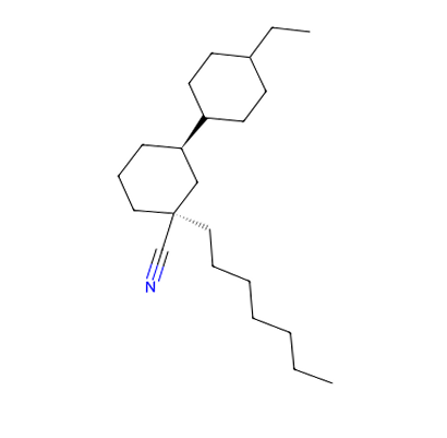 CCCCCCC[C@]1(C#N)CCC[C@@H](C2CCC(CC)CC2)C1